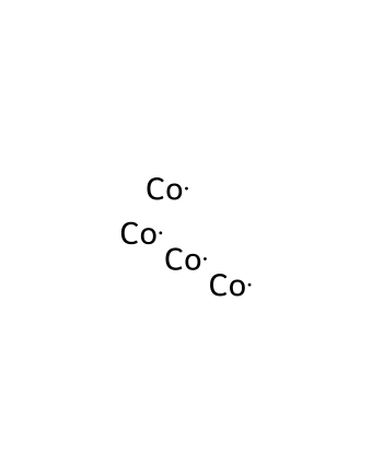 [Co].[Co].[Co].[Co]